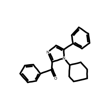 O=C(c1ccccc1)c1ncc(-c2ccccc2)n1C1CCCCC1